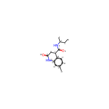 CCC(C)NC(=O)C1CC(=O)Nc2cc(C)ccc21